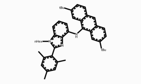 CCCCCCn1c(-c2c(C)cc(C)cc2C)nc2c(Nc3c4cc(C(C)(C)C)ccc4cc4ccc(C(C)(C)C)cc34)cccc21